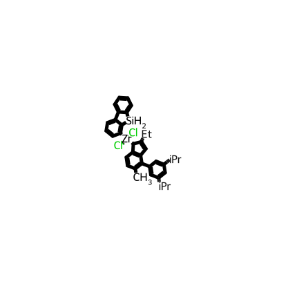 CCC1=Cc2c(ccc(C)c2-c2cc(C(C)C)cc(C(C)C)c2)[CH]1[Zr]([Cl])([Cl])[c]1cccc2c1[SiH2]c1ccccc1-2